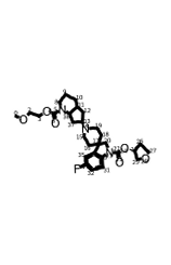 COCCOC(=O)N1CCCC2CC(N3CCC4(CC3)CN(C(=O)O[C@@H]3CCOC3)c3ccc(F)cc34)CC21